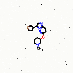 CN1CCCC(Oc2ccc3ncc(-c4ccsc4)n3n2)C1